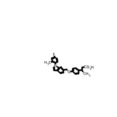 Cc1cc(F)ccc1-n1ccc2ccc(COc3ccc(C(C)CC(=O)O)cc3)cc21